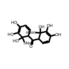 CCCCCCCCCC1(O)C(O)=C(O)C=CC1C(=O)C1C=CC(O)=C(O)C1(O)CCCCCCCCC